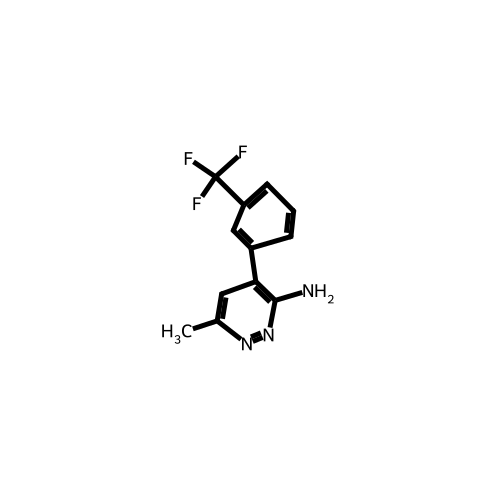 Cc1cc(-c2cccc(C(F)(F)F)c2)c(N)nn1